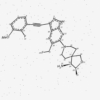 COc1cccc(C#Cc2n[nH]c3nc(N4CCC5(CC4)CO[C@@H](C)[C@H]5N)c(CF)nc23)c1F